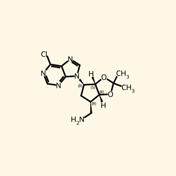 CC1(C)O[C@@H]2[C@@H](CN)C[C@@H](n3cnc4c(Cl)ncnc43)[C@@H]2O1